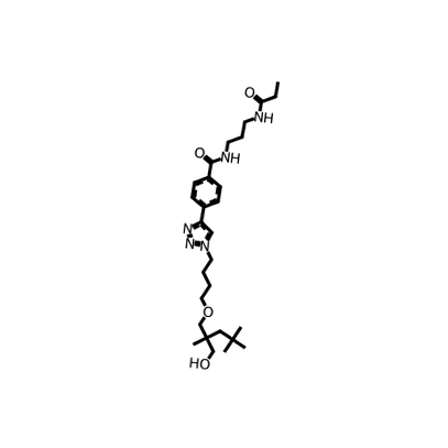 CCC(=O)NCCCNC(=O)c1ccc(-c2cn(CCCCOCC(C)(CO)CC(C)(C)C)nn2)cc1